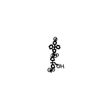 COc1ccc(C(c2ccccc2)(c2ccccc2)c2cc[c]([Co](=[O])[O]c3ccc(C(C)(CCCO)c4ccc(OC(C)=O)cc4)cc3)cc2)cc1